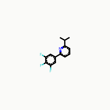 CC(C)c1cccc(-c2cc(F)c(F)c(F)c2)n1